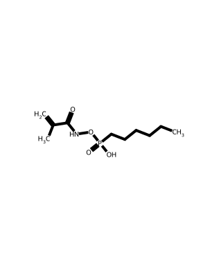 C=C(C)C(=O)NOP(=O)(O)CCCCCC